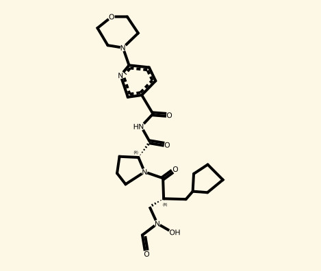 O=CN(O)C[C@@H](CC1CCCC1)C(=O)N1CCC[C@@H]1C(=O)NC(=O)c1ccc(N2CCOCC2)nc1